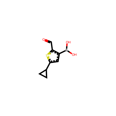 O=Cc1sc(C2CC2)cc1B(O)O